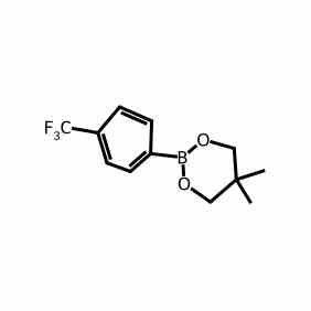 CC1(C)COB(c2ccc(C(F)(F)F)cc2)OC1